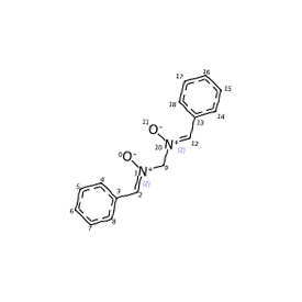 [O-]/[N+](=C\c1ccccc1)C/[N+]([O-])=C/c1ccccc1